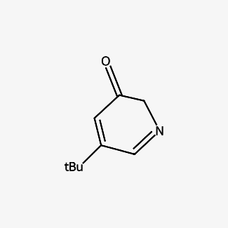 CC(C)(C)C1=CC(=O)CN=C1